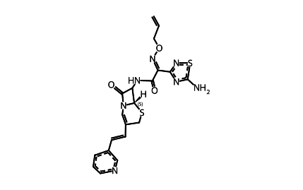 C=CCON=C(C(=O)NC1C(=O)N2C=C(C=Cc3cccnc3)CS[C@@H]12)c1nsc(N)n1